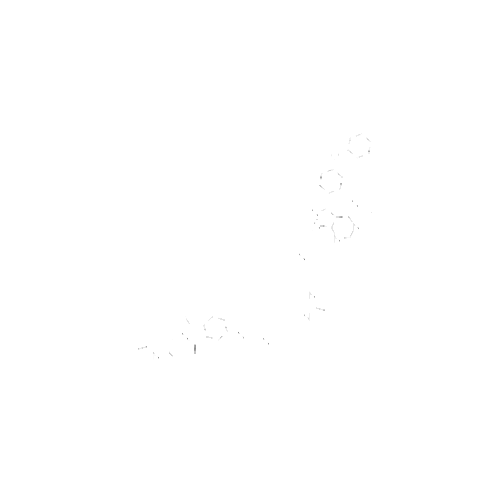 Nc1ncnc2c1c(-c1ccc(Oc3ccccc3)cc1)nn2[C@@H]1CCCN(C2CCN(C(=O)N3CCC(CN4CCN(c5ccc6c(c5)C(=O)N(C5CCC(=O)NC5=O)C6=O)CC4)CC3)CC2)C1